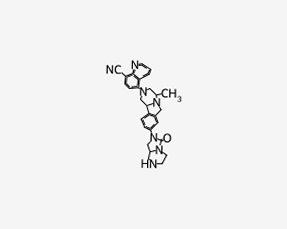 CC1CN(c2ccc(C#N)c3ncccc23)CC2c3ccc(N4CC5CNCCN5C4=O)cc3CN12